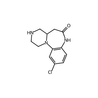 O=C1CC2CNCCN2c2cc(Cl)ccc2N1